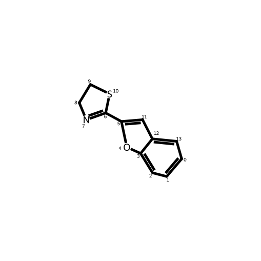 c1ccc2oc(C3=NCCS3)cc2c1